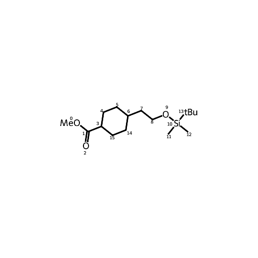 COC(=O)C1CCC(CCO[Si](C)(C)C(C)(C)C)CC1